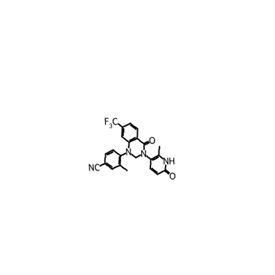 Cc1cc(C#N)ccc1N1CN(c2ccc(=O)[nH]c2C)C(=O)c2ccc(C(F)(F)F)cc21